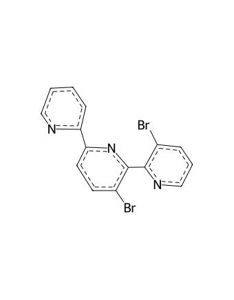 Brc1cccnc1-c1nc(-c2ccccn2)ccc1Br